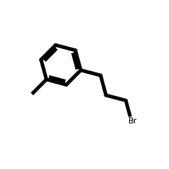 Cc1cccc(CCCBr)c1